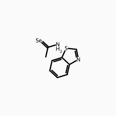 CC(N)=[Se].c1ccc2scnc2c1